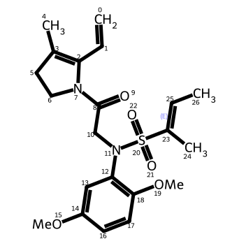 C=CC1=C(C)CCN1C(=O)CN(c1cc(OC)ccc1OC)S(=O)(=O)/C(C)=C/C